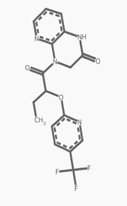 CCC(Oc1ccc(C(F)(F)F)cn1)C(=O)N1CC(=O)Nc2cccnc21